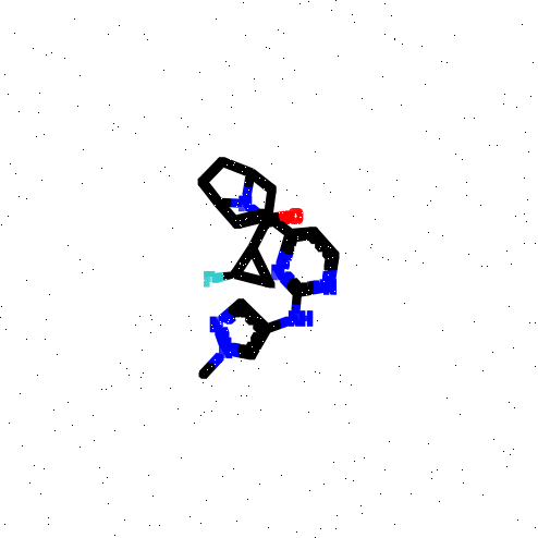 Cn1cc(Nc2nccc(C3=CC4CCC(C3)N4C(=O)C3C[C@H]3F)n2)cn1